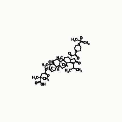 C=S(C)(=O)N1CCN(C(=O)C(=O)[C@@]23CC[C@]4(C)C(CC[C@@H]5[C@@]6(C)CC[C@H](OC(=O)CC(C)(C)C(=O)O)C(C)(C)C6CC[C@]54C)C2=C(C(C)C)C(=O)C3)CC1